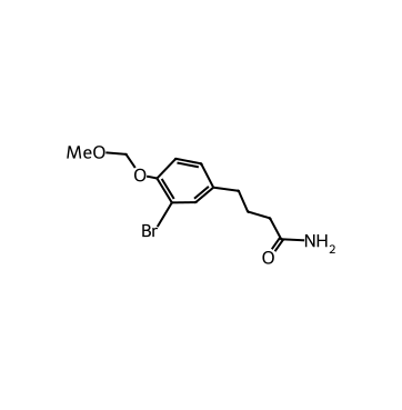 COCOc1ccc(CCCC(N)=O)cc1Br